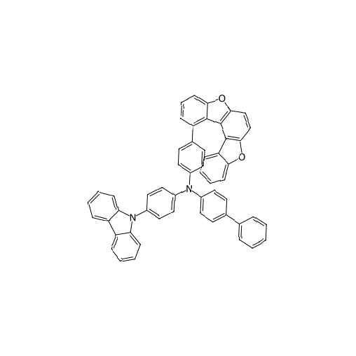 c1ccc(-c2ccc(N(c3ccc(-c4cccc5oc6ccc7oc8ccccc8c7c6c45)cc3)c3ccc(-n4c5ccccc5c5ccccc54)cc3)cc2)cc1